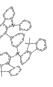 CC1(C)c2ccccc2-c2c(N(c3cccc(-c4cccc5c6ccccc6n(-c6ccccc6)c45)c3)c3cccc4c3C(C)(C)c3ccccc3-4)cccc21